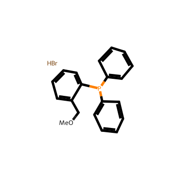 Br.COCc1ccccc1P(c1ccccc1)c1ccccc1